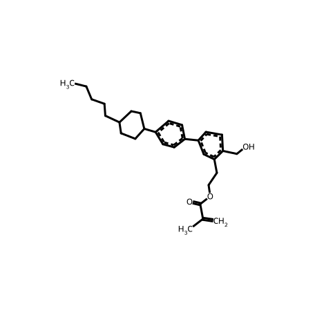 C=C(C)C(=O)OCCc1cc(-c2ccc(C3CCC(CCCCC)CC3)cc2)ccc1CO